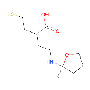 C[C@@]1(NCCC(CCS)C(=O)O)CCCO1